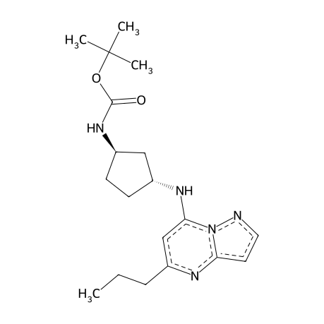 CCCc1cc(N[C@@H]2CC[C@@H](NC(=O)OC(C)(C)C)C2)n2nccc2n1